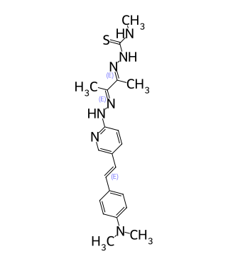 CNC(=S)N/N=C(C)/C(C)=N/Nc1ccc(/C=C/c2ccc(N(C)C)cc2)cn1